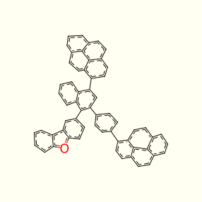 c1cc2ccc3ccc(-c4ccc(-c5cc(-c6ccc7ccc8cccc9ccc6c7c89)c6ccccc6c5-c5ccc6oc7ccccc7c6c5)cc4)c4ccc(c1)c2c34